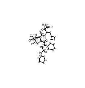 NC(=O)C(=O)C(CC1CCC1)NC(=O)[C@@H]1[C@@H]2[C@H](CN1C(=O)[C@@H](NC(=O)NC1CCCCC1)C1CCCCC1)C2(Cl)Cl